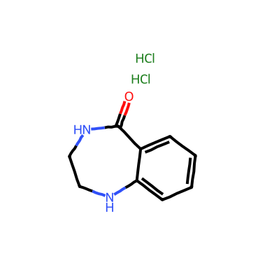 Cl.Cl.O=C1NCCNc2ccccc21